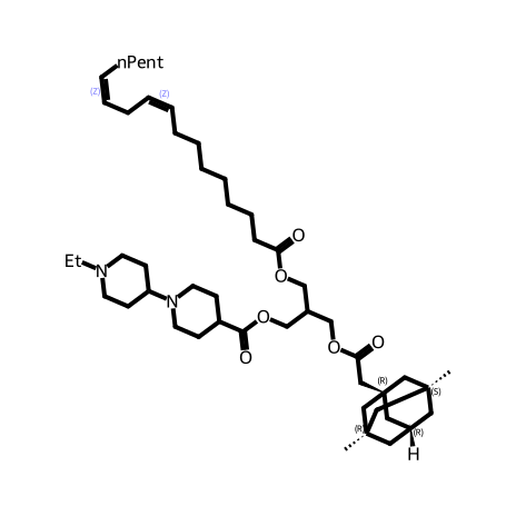 CCCCC/C=C\C/C=C\CCCCCCCC(=O)OCC(COC(=O)C[C@@]12C[C@@H]3C[C@@](C)(C[C@@](C)(C3)C1)C2)COC(=O)C1CCN(C2CCN(CC)CC2)CC1